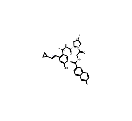 C[C@H](NC(=O)[C@@H]1C[C@@H](F)CN1C(=O)CNC(=O)c1ccc2cc(F)ccc2n1)c1ccc(O)cc1/C=C/C1CC1